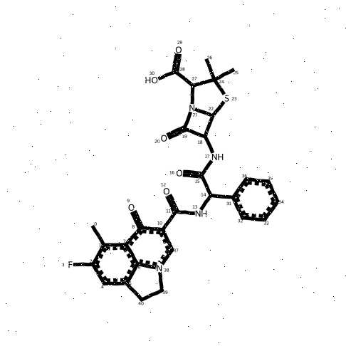 Cc1c(F)cc2c3c1c(=O)c(C(=O)NC(C(=O)NC1C(=O)N4C1SC(C)(C)C4C(=O)O)c1ccccc1)cn3CC2